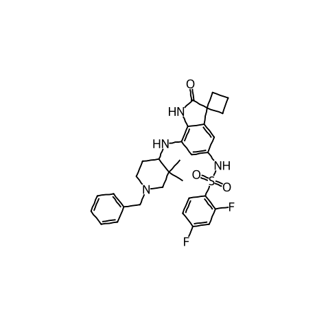 CC1(C)CN(Cc2ccccc2)CCC1Nc1cc(NS(=O)(=O)c2ccc(F)cc2F)cc2c1NC(=O)C21CCC1